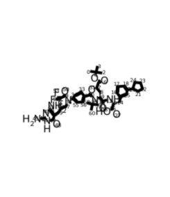 CC(C)(C)OC(=O)CC[C@@H](C(=O)N[C@@H](Cc1cccc(C2CCCC2)c1)C(=O)O)N(C(=O)c1ccc(N(CCCc2c(N)nc(N)[nH]c2=O)C(=O)C(F)(F)F)cc1)C(C)(C)C